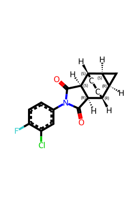 O=C1[C@@H]2[C@@H]3CC[C@@H]([C@H]4C[C@H]43)[C@@H]2C(=O)N1c1ccc(F)c(Cl)c1